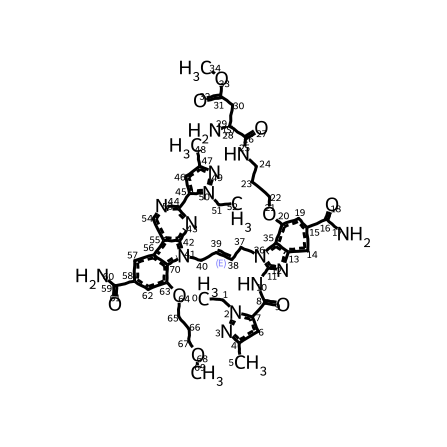 CCn1nc(C)cc1C(=O)Nc1nc2cc(C(N)=O)cc(OCCCNC(=O)[C@@H](N)CC(=O)OC)c2n1C/C=C/Cn1c2nc(-c3cc(C)nn3CC)ncc2c2cc(C(N)=O)cc(OCCCOC)c21